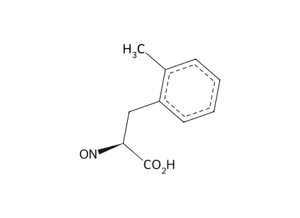 Cc1ccccc1C[C@H](N=O)C(=O)O